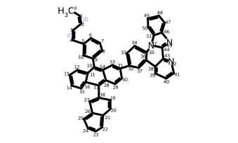 C/C=C\C=C/c1cccc(-c2c3ccccc3c(-c3ccc4ccccc4c3)c3ccc(-c4ccc5c(c4)c4cccnc4c4nc6ccccc6n54)cc23)c1